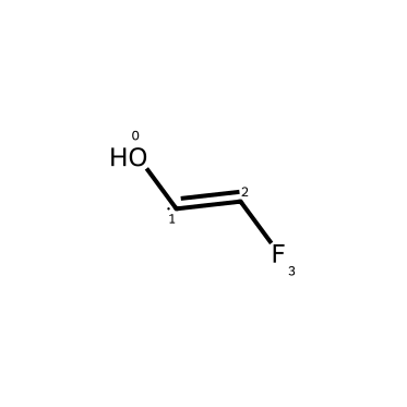 O[C]=CF